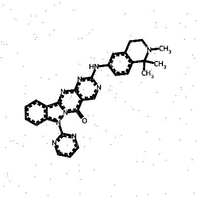 CN1CCc2cc(Nc3ncc4c(=O)n5c(nc4n3)c3ccccc3n5-c3ncccn3)ccc2C1(C)C